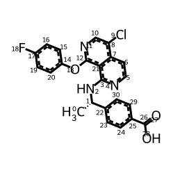 C[C@H](Nc1nccc2c(Cl)cnc(Oc3ccc(F)cc3)c12)c1ccc(C(=O)O)cc1